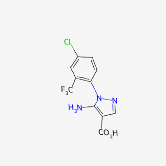 Nc1c(C(=O)O)cnn1-c1ccc(Cl)cc1C(F)(F)F